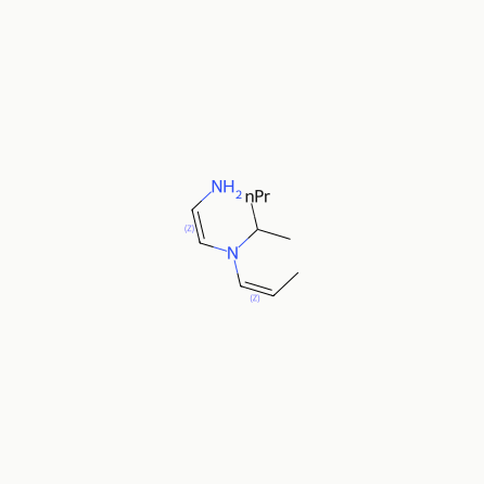 C/C=C\N(/C=C\N)C(C)CCC